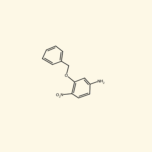 Nc1ccc([N+](=O)[O-])c(OCc2ccccc2)c1